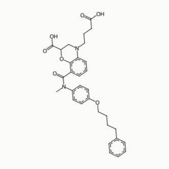 CN(C(=O)c1cccc2c1OC(C(=O)O)CN2CCCC(=O)O)c1ccc(OCCCCc2ccccc2)cc1